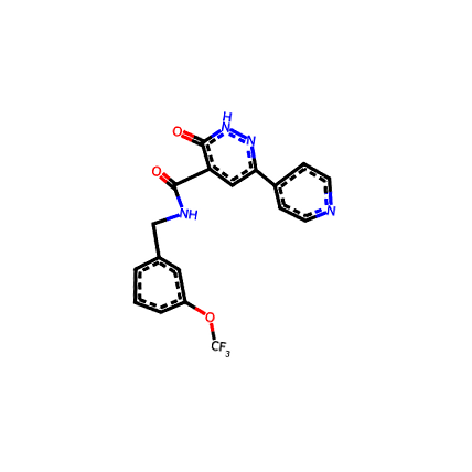 O=C(NCc1cccc(OC(F)(F)F)c1)c1cc(-c2ccncc2)n[nH]c1=O